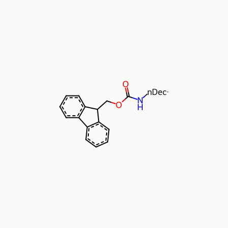 [CH2]CCCCCCCC[CH]NC(=O)OCC1c2ccccc2-c2ccccc21